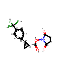 O=C(ON1C(=O)CCC1=O)[C@@H]1C[C@H]1c1ccc(C(F)(F)F)cc1